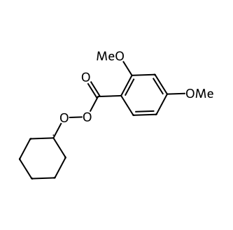 COc1ccc(C(=O)OO[C]2CCCCC2)c(OC)c1